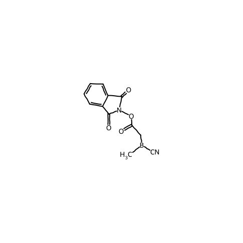 CB(C#N)CC(=O)ON1C(=O)c2ccccc2C1=O